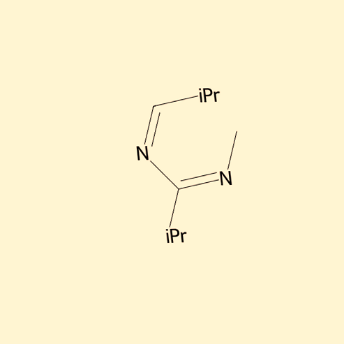 C/N=C(\N=C/C(C)C)C(C)C